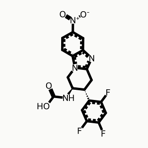 O=C(O)N[C@H]1Cn2c(nc3cc([N+](=O)[O-])ccc32)C[C@@H]1c1cc(F)c(F)cc1F